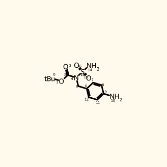 CC(C)(C)OC(=O)N(Cc1ccc(N)cc1)S(N)(=O)=O